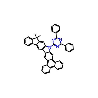 CC1(C)c2ccccc2-c2cc3c4cc5c6ccccc6c6ccccc6c5cc4n(-c4nc(-c5ccccc5)nc(-c5ccccc5)n4)c3cc21